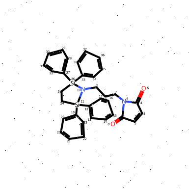 O=C1C=CC(=O)N1CCCN1[Si](c2ccccc2)(c2ccccc2)CC[Si]1(c1ccccc1)c1ccccc1